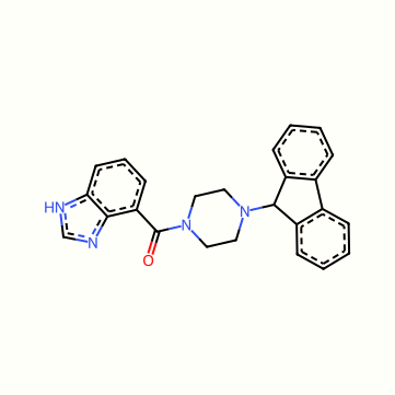 O=C(c1cccc2[nH]cnc12)N1CCN(C2c3ccccc3-c3ccccc32)CC1